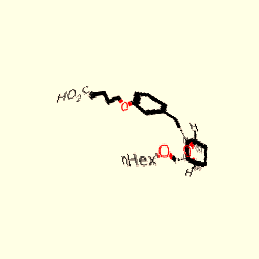 CCCCCCOC[C@@H]1[C@H](CCc2cccc(OCCCCC(=O)O)c2)[C@@H]2CC[C@H]1O2